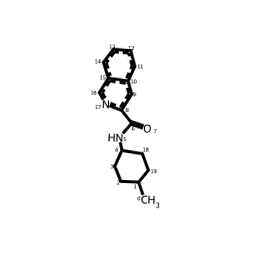 CC1CCC(NC(=O)c2cc3ccccc3cn2)CC1